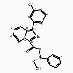 O=C(N[C@@H](CO)c1ccccc1)c1nc(-c2cccc(Cl)c2)c2ccccn12